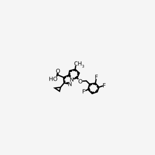 Cc1cc(OCc2c(F)ccc(F)c2F)n2nc(C3CC3)c(C(=O)O)c2c1